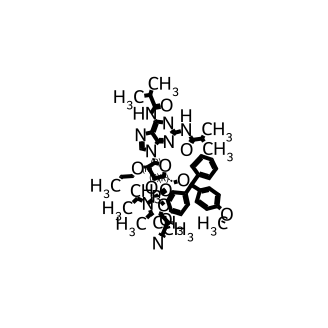 CCCO[C@@H]1[C@H](OP(=O)(OCCC#N)N(C(C)C)C(C)C)[C@@H](COC(c2ccccc2)(c2ccc(OC)cc2)c2ccc(OC)cc2)O[C@H]1n1cnc2c(NC(=O)C(C)C)nc(NC(=O)C(C)C)nc21